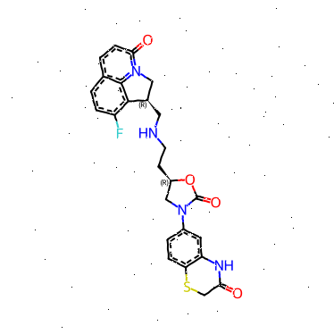 O=C1CSc2ccc(N3C[C@@H](CCNC[C@@H]4Cn5c(=O)ccc6ccc(F)c4c65)OC3=O)cc2N1